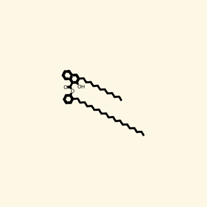 CCCCCCCCCCCCCCCCCCCCc1ccccc1OC(=O)c1c(O)c(CCCCCCCCCCCC)cc2ccccc12